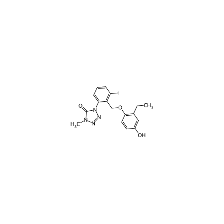 CCc1cc(O)ccc1OCc1c(I)cccc1-n1nnn(C)c1=O